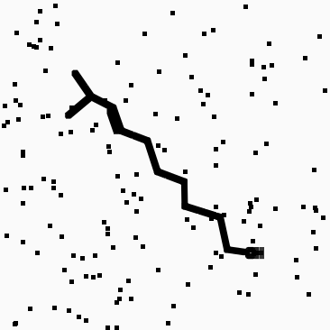 CC(C)C=CCCCCCCO